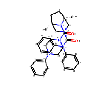 O=C(N1C[C@H]2CC[C@@H](C1)N2C(=O)N1CCN(c2ccccc2)CC1)N(c1ccccc1)c1ccccc1